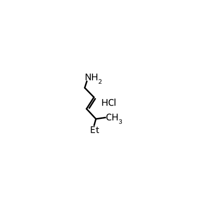 CCC(C)C=CCN.Cl